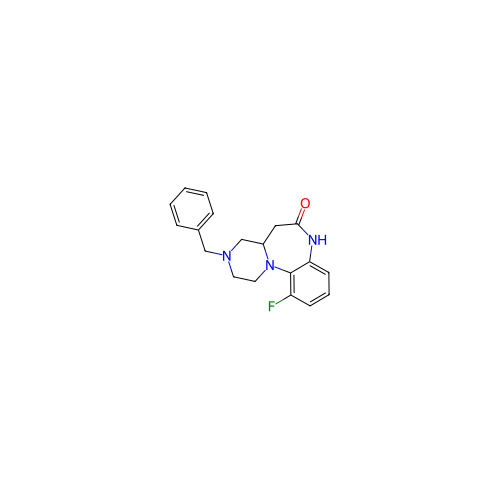 O=C1CC2CN(Cc3ccccc3)CCN2c2c(F)cccc2N1